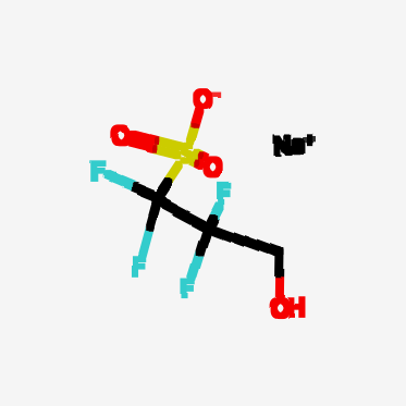 O=S(=O)([O-])C(F)(F)C(F)(F)CO.[Na+]